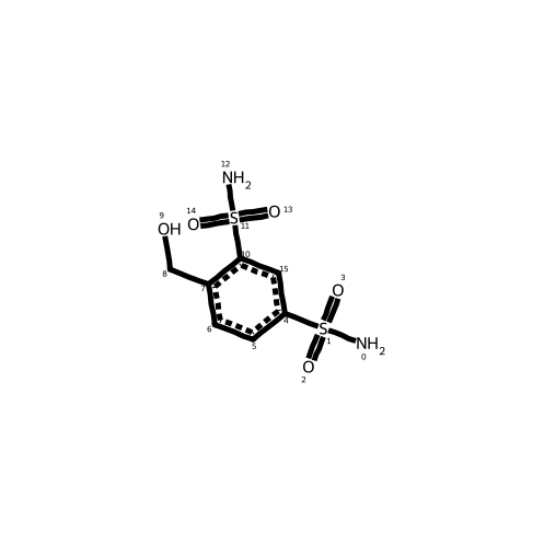 NS(=O)(=O)c1ccc(CO)c(S(N)(=O)=O)c1